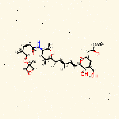 COC(=O)C[C@@H]1CC(CO)[C@H](O)C(/C=C/C(C)=C/CC2OC(C)C(NC(=O)/C=C\C(C)COC3(C)COC3)CC2C)O1